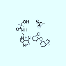 CC(C)(CO)C(=O)NCCn1ccc2ncnc(Nc3ccc(Oc4cccc5sccc45)c(Cl)c3)c21.CS(=O)(=O)O